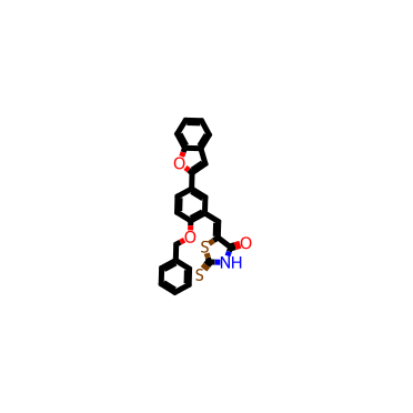 O=C1NC(=S)S/C1=C\c1cc(-c2cc3ccccc3o2)ccc1OCc1ccccc1